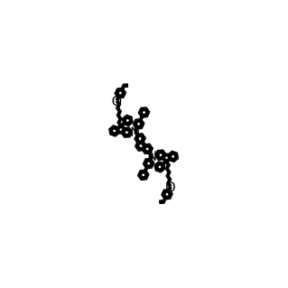 C=Cc1ccc(OCCCCCCC2(c3ccccc3)c3ccccc3-c3ccc(N(c4ccc(-c5ccccc5)cc4)c4ccc5c(ccc6cc(N(c7ccc(-c8ccccc8)cc7)c7ccc8c(c7)C(CCCCCCOc7ccc(C=C)cc7)(c7ccccc7)c7ccccc7-8)ccc65)c4)cc32)cc1